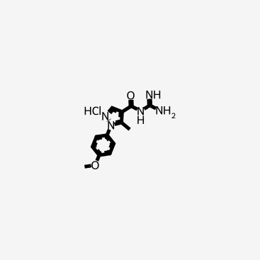 COc1ccc(-n2ncc(C(=O)NC(=N)N)c2C)cc1.Cl